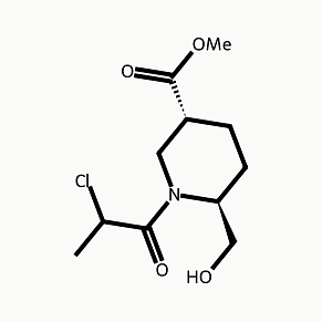 COC(=O)[C@@H]1CC[C@@H](CO)N(C(=O)C(C)Cl)C1